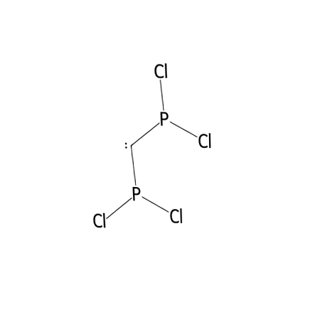 ClP(Cl)[C]P(Cl)Cl